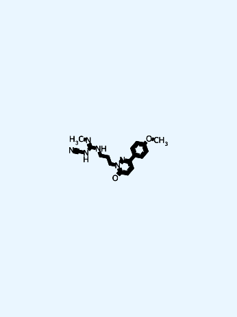 C/N=C(\NC#N)NCCCn1nc(-c2ccc(OC)cc2)ccc1=O